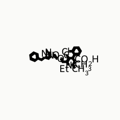 CCN1C(COCCn2cc(Cc3ccccc3)nn2)=C(C(=O)O)C(c2ccccc2Cl)C(C)(C(=O)O)C1C